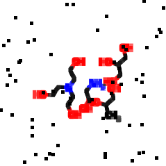 CC(O)CO.NCCO.OCC(O)CO.OCCN(CCO)CCO